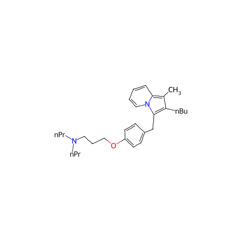 CCCCc1c(C)c2ccccn2c1Cc1ccc(OCCCN(CCC)CCC)cc1